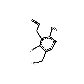 C=CCc1c([N+](=O)[O-])ccc(SO)c1[N+](=O)[O-]